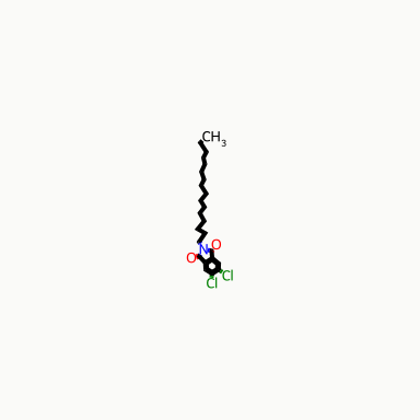 CCCCCCCCCCCCCCCCN1C(=O)c2cc(Cl)c(Cl)cc2C1=O